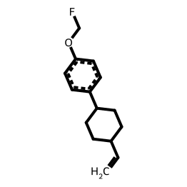 C=CC1CCC(c2ccc(OCF)cc2)CC1